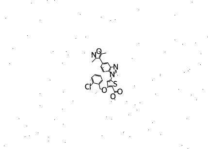 COC(=O)c1sc(-n2cnc3cc(-c4c(C)noc4C)ccc32)cc1O[C@H](C)c1ccccc1Cl